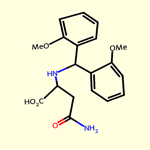 COc1ccccc1C(NC(CC(N)=O)C(=O)O)c1ccccc1OC